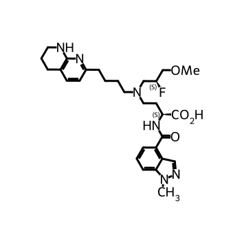 COC[C@@H](F)CN(CCCCc1ccc2c(n1)NCCC2)CC[C@H](NC(=O)c1cccc2c1cnn2C)C(=O)O